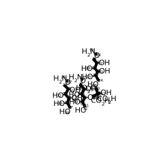 NOC[C@H](O)[C@@H](O)[C@H](O)[C@H](O)CO.NOC[C@H](O)[C@@H](O)[C@H](O)[C@H](O)CO.NOC[C@H](O)[C@@H](O)[C@H](O)[C@H](O)CO.O=C(O)CC(O)(CC(=O)O)C(=O)O